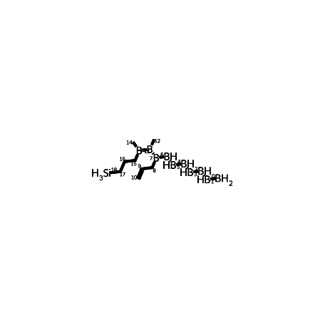 BBBBBBBB(CC=C)B(C)B(C)CCC[SiH3]